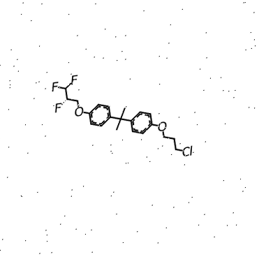 CC(C)(c1ccc(OCCCCl)cc1)c1ccc(OC[C@H](F)C(F)F)cc1